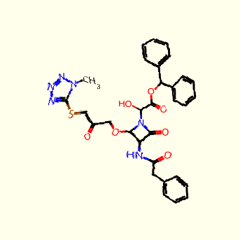 Cn1nnnc1SCC(=O)COC1C(NC(=O)Cc2ccccc2)C(=O)N1C(O)C(=O)OC(c1ccccc1)c1ccccc1